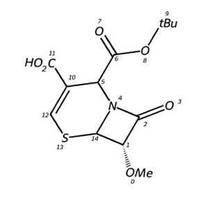 CO[C@H]1C(=O)N2C(C(=O)OC(C)(C)C)C(C(=O)O)=CSC12